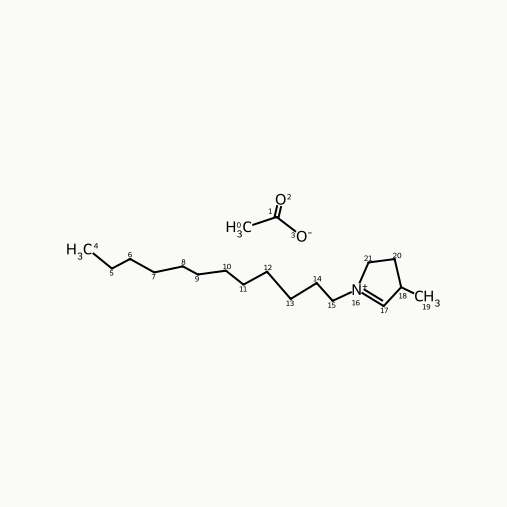 CC(=O)[O-].CCCCCCCCCCCC[N+]1=CC(C)CC1